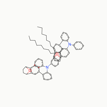 CCCCCCCCC1(CCCCCCCC)c2cc(N(c3ccccc3)c3ccccc3-c3ccc4c(c3)C3CCC4O3)ccc2-c2ccc(N(c3ccccc3)c3ccccc3-c3ccc4c5ccc(o5)c4c3)cc21